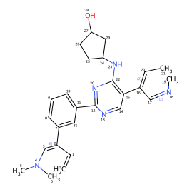 C=C/C(=C\N(C)C)c1cccc(-c2ncc(C(/C=N\C)=C/C)c(NC3CCC(O)C3)n2)c1